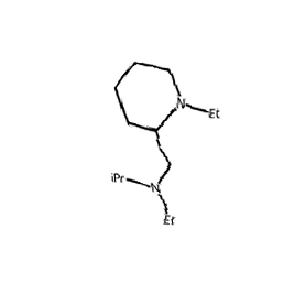 CCN(CC1CCCCN1CC)C(C)C